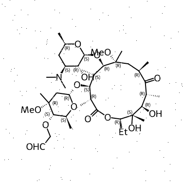 CC[C@H]1OC(=O)[C@H](C)[C@@H](O[C@H]2C[C@@](C)(OC)[C@@H](OCC=O)[C@H](C)O2)[C@H](C)[C@@H](O[C@@H]2O[C@H](C)C[C@H](N(C)C)[C@H]2O)[C@](C)(OC)C[C@@H](C)C(=O)[C@H](C)[C@@H](O)[C@]1(C)O